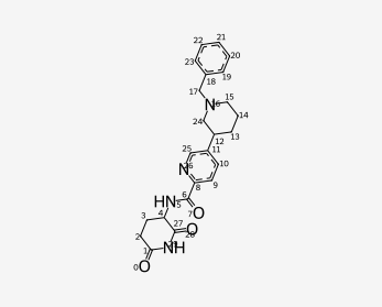 O=C1CCC(NC(=O)c2ccc(C3CCCN(Cc4ccccc4)C3)cn2)C(=O)N1